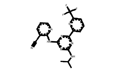 CC(C)Nc1nc(Nc2ncccc2C#N)nc(-c2cccc(C(F)(F)F)n2)n1